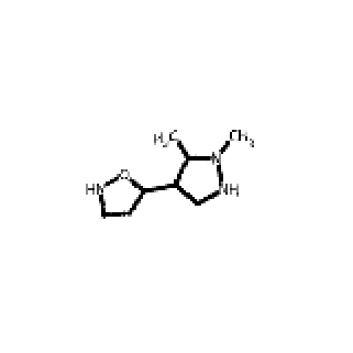 CC1C(C2CCNO2)CNN1C